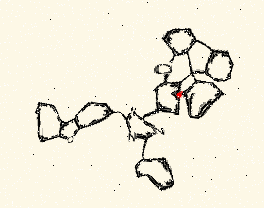 c1ccc(-c2nc(-c3ccc4c(c3)Oc3cccc5c3C4(c3ccccc3)c3ccccc3-5)nc(-c3ccc4c(c3)oc3ccccc34)n2)cc1